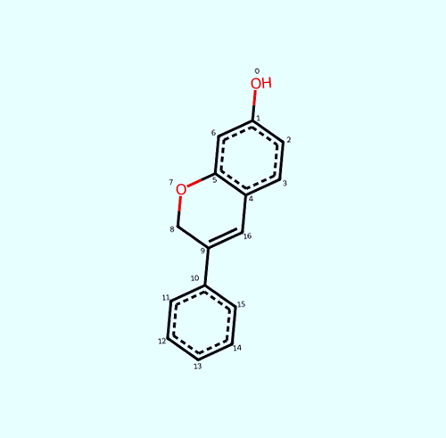 Oc1ccc2c(c1)OCC(c1ccccc1)=C2